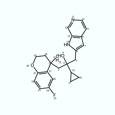 CC1(CC(O)(Cc2cc3ccncc3[nH]2)C2CC2)CCOc2ccc(F)cc21